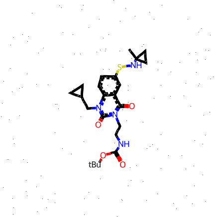 CC1(NSc2ccc3c(c2)c(=O)n(CCNC(=O)OC(C)(C)C)c(=O)n3CC2CC2)CC1